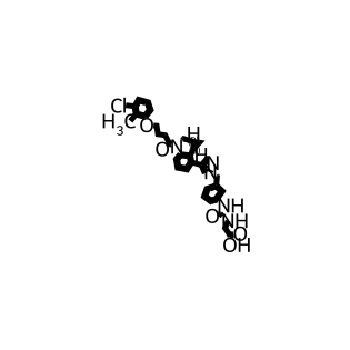 Cc1c(Cl)cccc1OCCCC(=O)N1C[C@@H]2C[C@@H]2c2c(-c3cnn(Cc4cccc(NC(=O)NCC(=O)O)c4)c3)cccc21